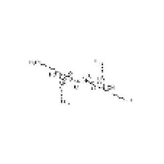 CCCCCCCCC(O)CN(CCC(=O)OCCN1CC(C)N(CCOC(=O)CCN(CC(O)CCCCCCCC)CC(O)CCCCCCCC)CC1C)CC(O)CCCCCCCC